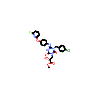 COC(=O)[C@@H](O)Cn1c(=O)[nH]/c(=N\c2ccc(Oc3cccc(F)n3)cc2)n(Cc2ccc(Cl)cc2)c1=O